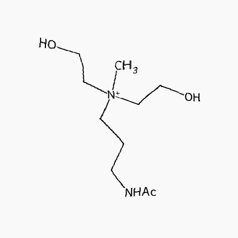 CC(=O)NCCC[N+](C)(CCO)CCO